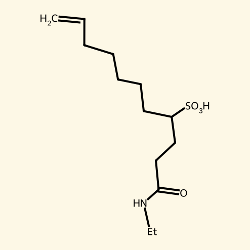 [CH2]CNC(=O)CCC(CCCCCC=C)S(=O)(=O)O